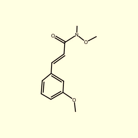 COc1cccc(/C=C/C(=O)N(C)OC)c1